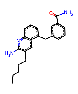 CCCCCc1cc2c(Cc3cccc(C(N)=O)c3)cccc2nc1N